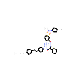 CCN(c1ccc(C(=O)O)cc1)S(=O)(=O)c1cccc(C(=O)Nc2sc3c(c2C(=O)Nc2ccc(CCc4ccc(C(=O)O)cc4)cc2)CCCC3)c1